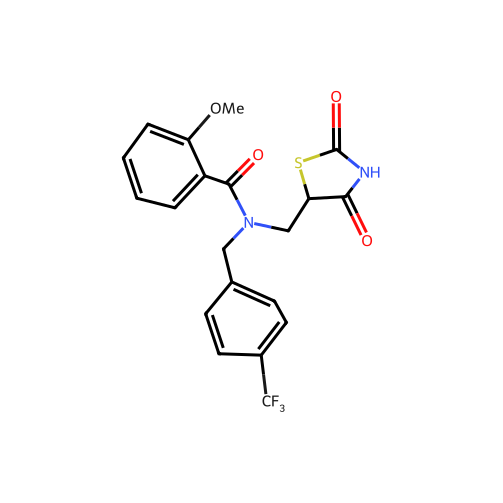 COc1ccccc1C(=O)N(Cc1ccc(C(F)(F)F)cc1)CC1SC(=O)NC1=O